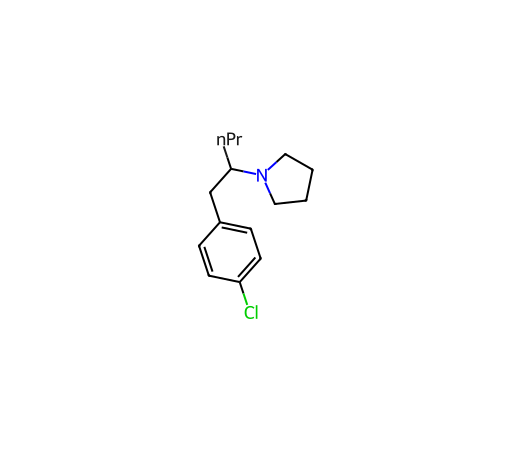 CCCC(Cc1ccc(Cl)cc1)N1CCCC1